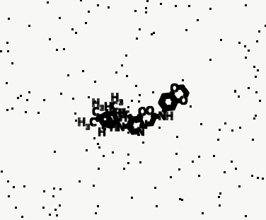 C[C@@H]1[C@H]2C[C@@H](C[C@H]1Nc1cnn(CC(=O)Nc3ccc4c(c3)OCCO4)c(=O)c1Br)C2(C)C